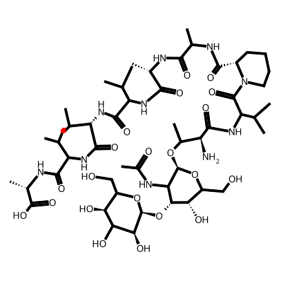 CC(=O)NC1[C@@H](OC(C)[C@H](N)C(=O)NC(C(=O)N2CCCC[C@H]2C(=O)NC(C)C(=O)N[C@@H](C)C(=O)NC(C(=O)N[C@H](C(=O)NC(C(=O)N[C@@H](C)C(=O)O)C(C)C)C(C)C)C(C)C)C(C)C)OC(CO)[C@H](O)[C@@H]1O[C@@H]1OC(CO)[C@H](O)C(O)[C@@H]1O